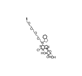 C#CCOCCOCCOCCOCCN(c1nc(Cl)nc2c1cnn2[C@@H]1O[C@H](CO)[C@@H](O)[C@H]1O)C1CCc2ccccc21